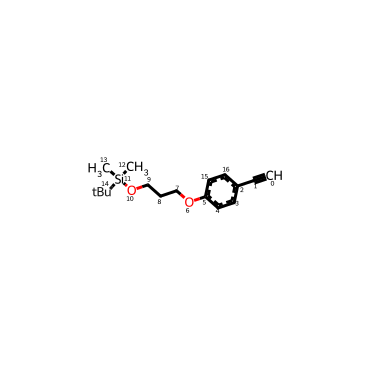 C#Cc1ccc(OCCCO[Si](C)(C)C(C)(C)C)cc1